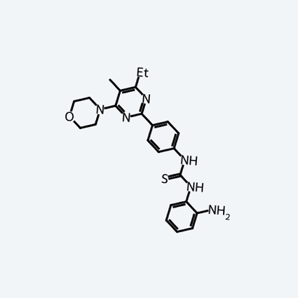 CCc1nc(-c2ccc(NC(=S)Nc3ccccc3N)cc2)nc(N2CCOCC2)c1C